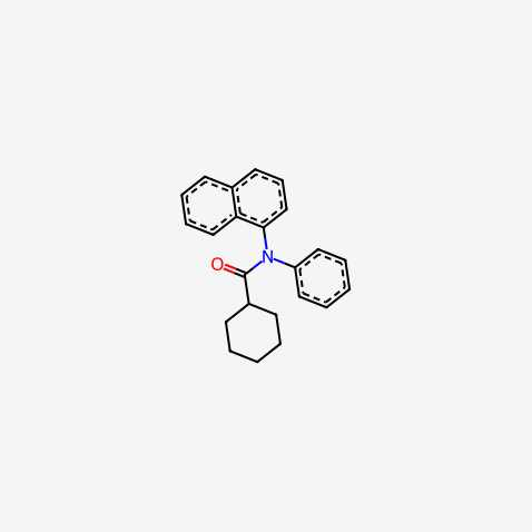 O=C(C1CCCCC1)N(c1ccccc1)c1cccc2ccccc12